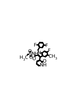 CCS(=O)(=O)NC(=O)c1c(-c2ccc[nH]c2=O)c2cc(C)c(F)cc2n1Cc1cc(F)ccc1F